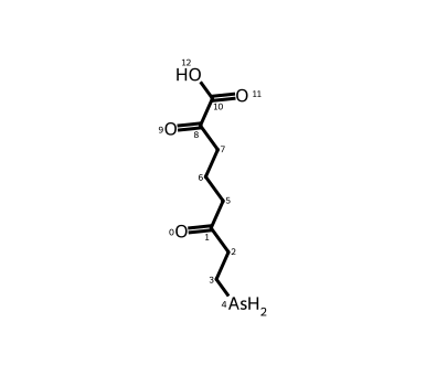 O=C(CC[AsH2])CCCC(=O)C(=O)O